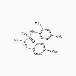 COc1ccc(/C=C(/C#N)S(=O)(=O)Nc2ccc(C)cc2C)cc1